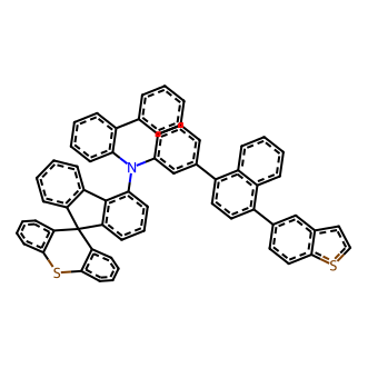 c1ccc(-c2ccccc2N(c2cccc(-c3ccc(-c4ccc5sccc5c4)c4ccccc34)c2)c2cccc3c2-c2ccccc2C32c3ccccc3Sc3ccccc32)cc1